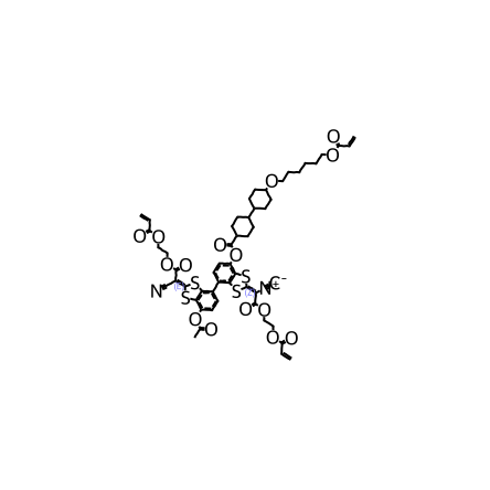 [C-]#[N+]/C(C(=O)OCCOC(=O)C=C)=C1\Sc2c(OC(=O)C3CCC(C4CCC(OCCCCCCOC(=O)C=C)CC4)CC3)ccc(-c3ccc(OC(C)=O)c4c3S/C(=C(/C#N)C(=O)OCCOC(=O)C=C)S4)c2S1